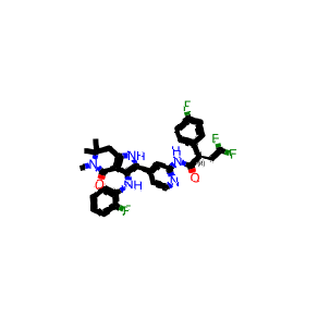 CN1C(=O)c2c([nH]c(-c3ccnc(NC(=O)[C@H](CC(F)F)c4ccc(F)cc4)c3)c2Nc2ccccc2F)CC1(C)C